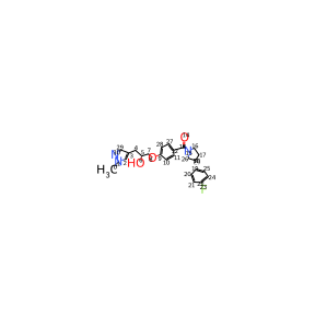 Cn1cc(CC(O)COc2ccc(C(=O)N3CC[C@H](c4ccc(F)cc4)C3)cc2)cn1